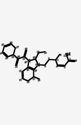 C=C(S)/C=C\C(C)CCN1C2=C(C=CCC2C)N(C(=C)C(=C)C2C=CC=CC2)C1CC